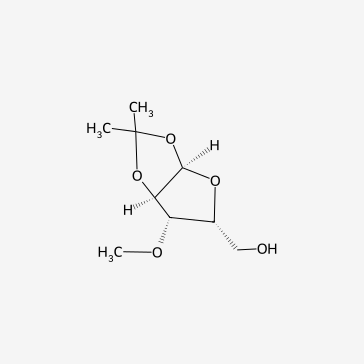 CO[C@@H]1[C@H]2OC(C)(C)O[C@H]2O[C@@H]1CO